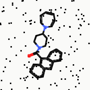 O=C(c1c2ccccc2cc2ccccc12)N1CCC(N2C=CC=CC=C2)CC1